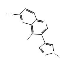 Cn1cc(-c2cnc3ccc(N)nc3c2Cl)cn1